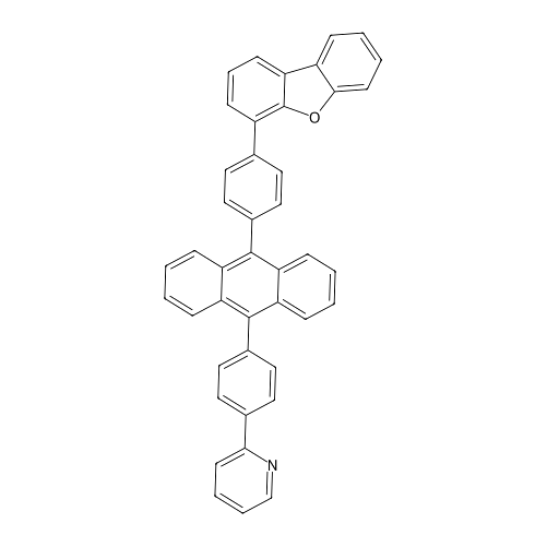 c1ccc(-c2ccc(-c3c4ccccc4c(-c4ccc(-c5cccc6c5oc5ccccc56)cc4)c4ccccc34)cc2)nc1